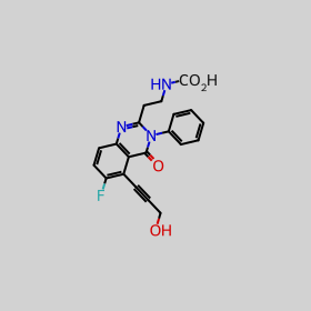 O=C(O)NCCc1nc2ccc(F)c(C#CCO)c2c(=O)n1-c1ccccc1